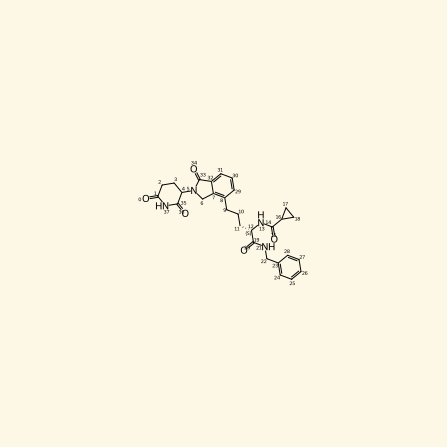 O=C1CCC(N2Cc3c(CCC[C@H](NC(=O)C4CC4)C(=O)NCc4ccccc4)cccc3C2=O)C(=O)N1